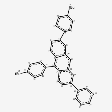 CC(C)(C)c1ccc(-c2ccc3c(-c4ccc(C(C)(C)C)cc4)c4ccc(-c5cncnc5)cc4cc3c2)cc1